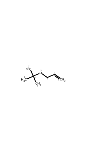 C=CCOC(C)(C)CCC